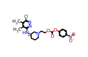 Cc1c(Cl)nnc(N[C@@H]2CCCN(CCOC(=O)Oc3ccc([N+](=O)[O-])cc3)C2)c1C